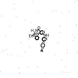 CCOc1ccccc1Nc1cc(Nc2ccc(N3CCN(C4CC4)CC3)cn2)ncc1C(N)=O